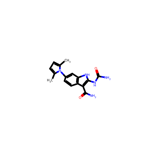 Cc1ccc(C)n1-c1ccc2c(C(N)=O)c(NC(N)=O)[nH]c2c1